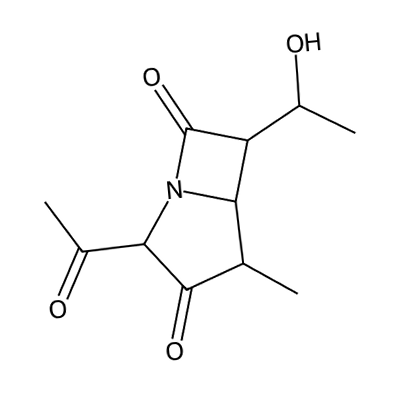 CC(=O)C1C(=O)C(C)C2C(C(C)O)C(=O)N12